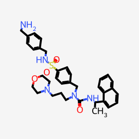 CC(NC(=O)N(CCCN1CCOCC1)Cc1ccc(S(=O)(=O)NCc2ccc(CN)cc2)cc1)c1cccc2ccccc12